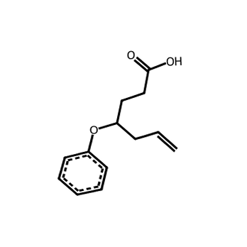 C=CCC(CCC(=O)O)Oc1ccccc1